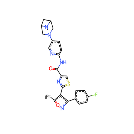 CC(C)c1onc(-c2ccc(F)cc2)c1-c1nc(C(=O)Nc2ccc(N3CC4CC(C3)N4C)cn2)cs1